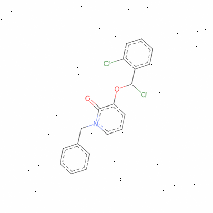 O=c1c(OC(Cl)c2ccccc2Cl)cccn1Cc1ccccc1